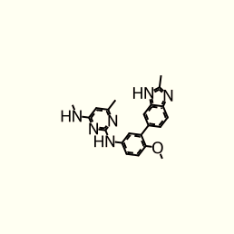 CNc1cc(C)nc(Nc2ccc(OC)c(-c3ccc4nc(C)[nH]c4c3)c2)n1